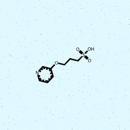 O=S(=O)(O)CCCOc1cccnc1